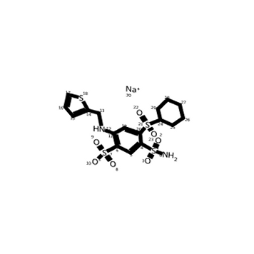 NS(=O)(=O)c1cc(S(=O)(=O)[O-])c(NCc2cccs2)cc1S(=O)(=O)C1CCCCC1.[Na+]